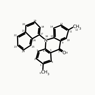 Cc1ccc2c(c1)c(=O)c1cc(C)ccc1n2-c1cccc2ccccc12